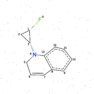 F[C@H]1C[C@H]1N1CC=Cc2ccccc21